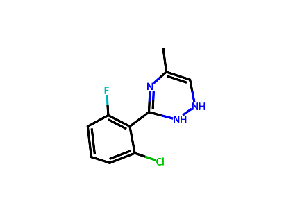 CC1=CNNC(c2c(F)cccc2Cl)=N1